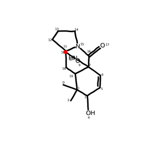 CC1(C)C(O)C=CC23NOCC4(CCCN4C2=O)CC31